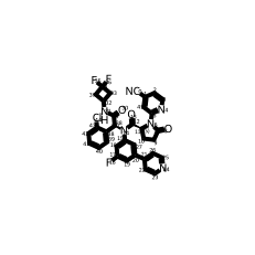 N#Cc1ccnc(N2C(=O)CC[C@H]2C(=O)N(c2cc(F)cc(-c3ccncc3)c2)[C@H](C(=O)NC2CC(F)(F)C2)c2ccccc2Cl)c1